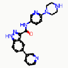 O=C(Nc1ccc(N2CCNCC2)nc1)c1n[nH]c2ccc(-c3cccnc3)cc12